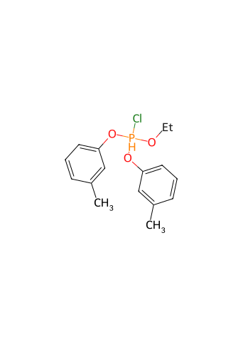 CCO[PH](Cl)(Oc1cccc(C)c1)Oc1cccc(C)c1